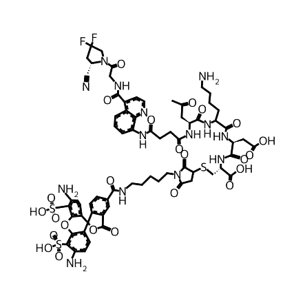 CC(=O)C[C@H](NC(=O)CCC(=O)Nc1cccc2c(C(=O)NCC(=O)N3CC(F)(F)C[C@H]3C#N)ccnc12)C(=O)NC(CCCCN)C(=O)N[C@@H](CC(=O)O)C(=O)N[C@@H](CSC1CC(=O)N(CCCCCNC(=O)c2ccc3c(c2)C(=O)OC32c3ccc(N)c(S(=O)(=O)O)c3Oc3c2ccc(N)c3S(=O)(=O)O)C1=O)C(=O)O